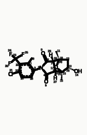 Cc1c(N2C(=O)[C@@H]3[C@H](C2=O)[C@@]2(C)C[C@H](O)[C@]3(C)O2)ccc(Cl)c1C(F)(F)F